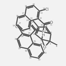 CC1=CC23OC2(C)C(=C1)[PH]3(C(=O)c1c(Cl)ccc2ccccc12)C(=O)c1c(Cl)ccc2ccccc12